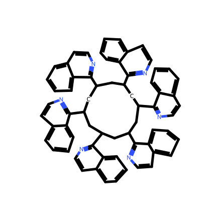 c1ccc2c(C3CC(c4nccc5ccccc45)CC(c4nccc5ccccc45)CC(c4nccc5ccccc45)CC(c4nccc5ccccc45)CC(c4nccc5ccccc45)C3)nccc2c1